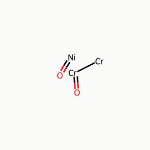 [O]=[Cr][Cr].[O]=[Ni]